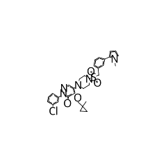 Cn1cccc1-c1cccc(CS(=O)(=O)N2CCN(c3cnn(-c4cccc(Cl)c4)c(=O)c3OCC3(C)CC3)CC2)c1